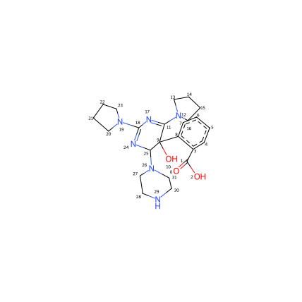 O=C(O)c1ccccc1C1(O)C(N2CCCC2)=NC(N2CCCC2)=NC1N1CCNCC1